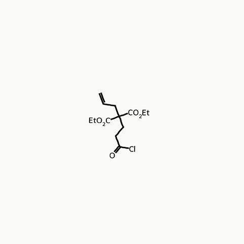 C=CCC(CCC(=O)Cl)(C(=O)OCC)C(=O)OCC